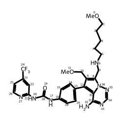 COCCCCCNCc1c(COC)c(-c2ccc(NC(=O)Nc3cc(C(F)(F)F)ccn3)cc2)c2c(N)ncnn12